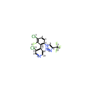 Fc1c(Cl)ccc(-n2cc(C(F)(F)F)nn2)c1-c1ccncc1Cl